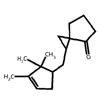 CC1=CCC(CC2CC23CCCC3=O)C1(C)C